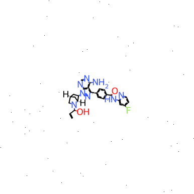 C=CC(O)N1C[C@H]2CC(n3nc(-c4ccc(C(=O)Nc5cc(F)ccn5)cc4)c4c(N)ncnc43)[C@@H]1C2